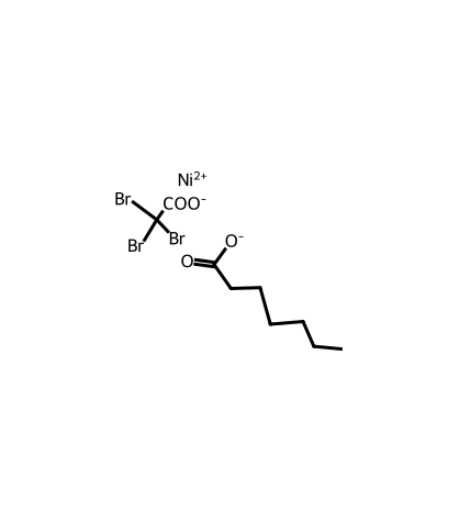 CCCCCCC(=O)[O-].O=C([O-])C(Br)(Br)Br.[Ni+2]